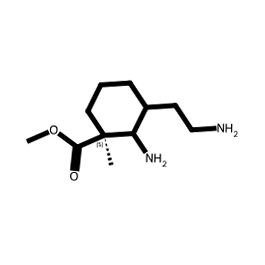 COC(=O)[C@@]1(C)CCCC(CCN)C1N